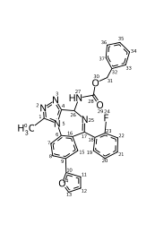 Cc1nnc2n1-c1ccc(-c3ccco3)cc1C(c1ccccc1F)=NC2NC(=O)OCc1ccccc1